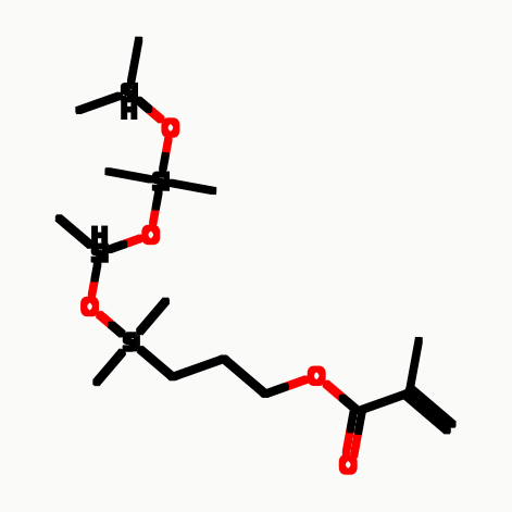 C=C(C)C(=O)OCCC[Si](C)(C)O[SiH](C)O[Si](C)(C)O[SiH](C)C